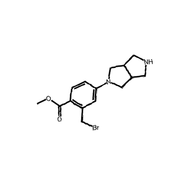 COC(=O)c1ccc(N2CC3CNCC3C2)cc1CBr